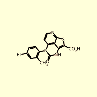 CCc1ccc(N2C(=O)Nc3c(C(=O)O)sc4nccc2c34)c(C)c1